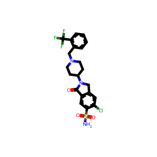 NS(=O)(=O)c1cc2c(cc1Cl)CN(C1CCN(Cc3ccccc3C(F)(F)F)CC1)C2=O